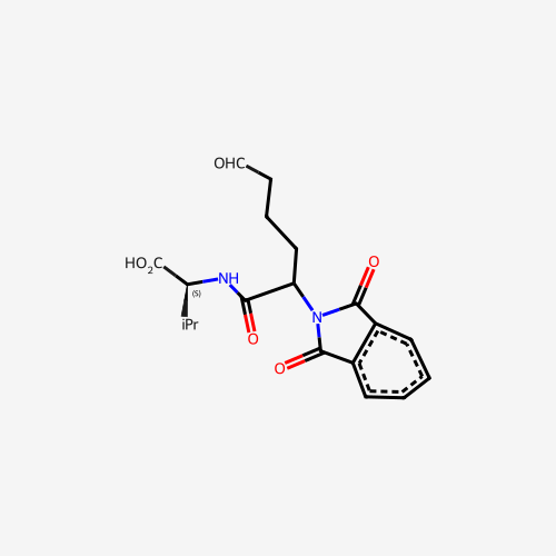 CC(C)[C@H](NC(=O)C(CCCC=O)N1C(=O)c2ccccc2C1=O)C(=O)O